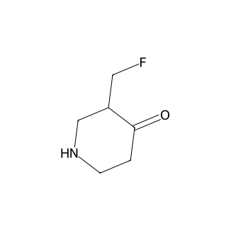 O=C1CCNCC1CF